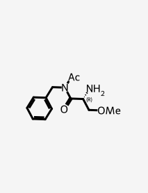 COC[C@@H](N)C(=O)N(Cc1ccccc1)C(C)=O